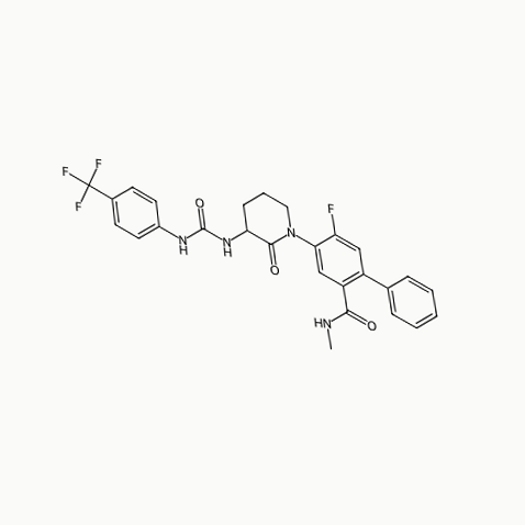 CNC(=O)c1cc(N2CCCC(NC(=O)Nc3ccc(C(F)(F)F)cc3)C2=O)c(F)cc1-c1ccccc1